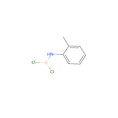 Cc1ccccc1NB(Cl)Cl